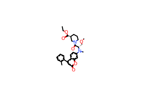 CCOC(=O)[C@H]1CCCN(C(=O)[C@H](COC)N(C)c2ccc3c(-c4ccccc4C)cc(=O)oc3c2)C1